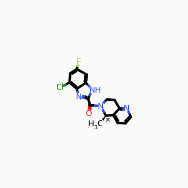 C[C@@H]1c2cccnc2CCN1C(=O)c1nc2c(Cl)cc(F)cc2[nH]1